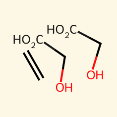 C=C.O=C(O)CO.O=C(O)CO